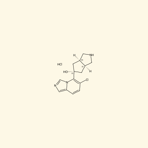 Cl.O[C@]1(c2c(Cl)ccc3cncn23)C[C@H]2CNC[C@H]2C1